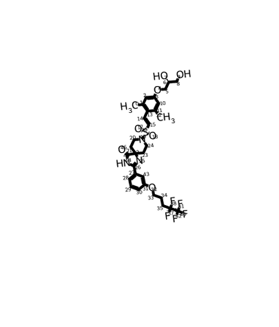 Cc1cc(OC[C@H](O)CO)cc(C)c1C=CS(=O)(=O)N1CCC2(CC1)N=C(c1cccc(OCCCC(F)(F)C(F)(F)F)c1)NC2=O